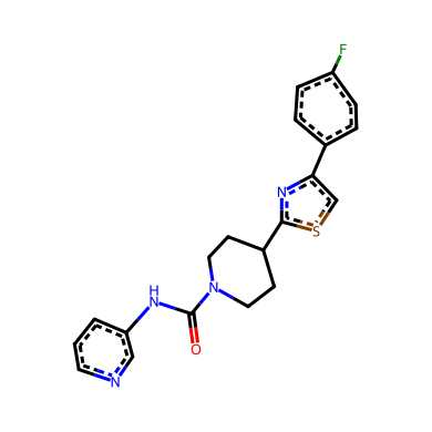 O=C(Nc1cccnc1)N1CCC(c2nc(-c3ccc(F)cc3)cs2)CC1